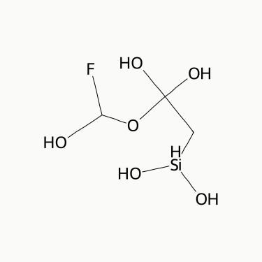 OC(F)OC(O)(O)C[SiH](O)O